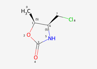 C[C@@H]1OC(=O)N[C@@H]1CCl